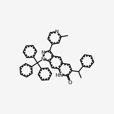 Cc1cc(-c2nn(C(c3ccccc3)(c3ccccc3)c3ccccc3)c3cc4[nH]c(=O)c(C(C)c5ccccc5)cc4cc23)ccn1